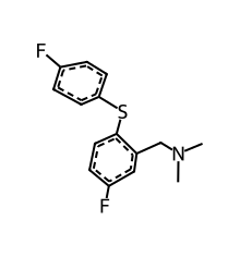 CN(C)Cc1cc(F)ccc1Sc1ccc(F)cc1